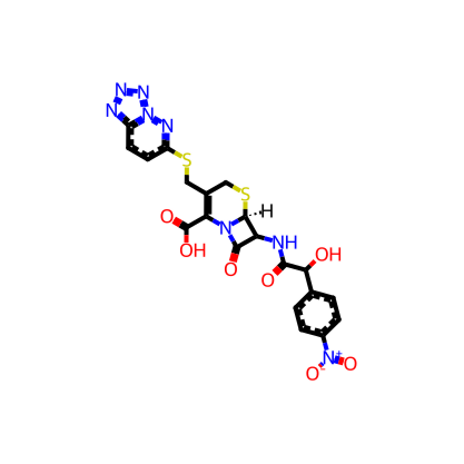 O=C(O)C1=C(CSc2ccc3nnnn3n2)CS[C@H]2C(NC(=O)C(O)c3ccc([N+](=O)[O-])cc3)C(=O)N12